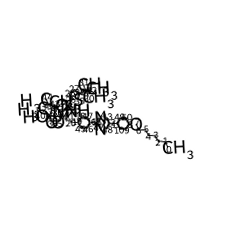 CCCCCCCOc1ccc(-c2cnc(-c3ccc(C[C@H](NC(=O)c4ccc(C(C)(C)C)s4)C(=O)NC(C(=O)O)C(C)(C)C)cc3)nc2)cc1